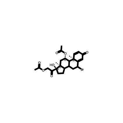 CC(=O)OCC(=O)[C@@]1(O)CCC2C3CC(Br)C4=CC(=O)C=C[C@]4(C)C3[C@@H](OC(C)=O)C[C@@]21C